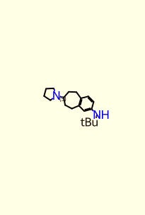 CC(C)(C)Nc1ccc2c(c1)CC[C@@H](N1CCCC1)CC2